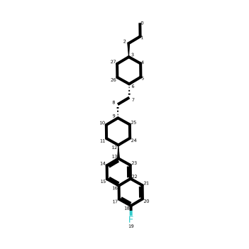 CCC[C@H]1CC[C@H](CC[C@H]2CC[C@H](c3ccc4cc(F)ccc4c3)CC2)CC1